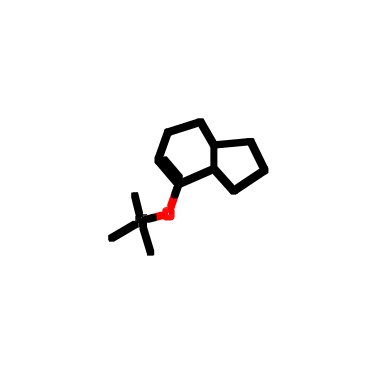 C[Si](C)(C)OC1=CCCC2CCCC12